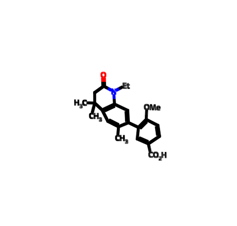 CCN1C(=O)CC(C)(C)c2cc(C)c(-c3cc(C(=O)O)ccc3OC)cc21